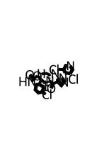 Nc1c(C(=O)N2CCC[C@@]3(C2)OC(=O)Nc2ccc(Cl)c(F)c23)cnn1-c1c(Cl)cncc1Cl